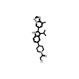 Cc1cc(-c2[nH]c3ccc(C4CCN(C(=O)CCl)CC4)cc3c2C(C)C)cn2ncnc12